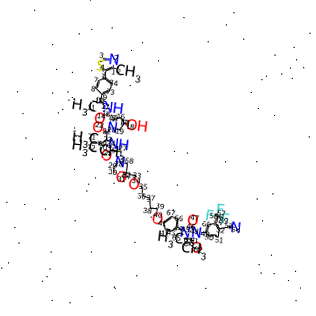 Cc1ncsc1-c1ccc([C@H](C)NC(=O)[C@@H]2C[C@@H](O)CN2C(=O)C(NC(=O)CN2CCO[C@H](COCCCCCOc3ccc(N4C(=O)N(c5ccc(C#N)c(C(F)(F)F)c5)C(=O)C4(C)C)cc3)C2)C(C)(C)C)cc1